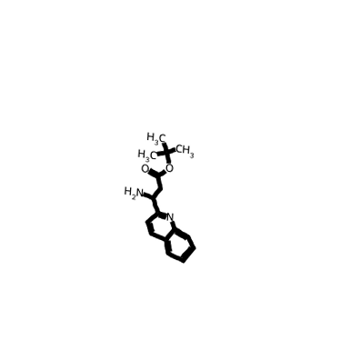 CC(C)(C)OC(=O)CC(N)c1ccc2ccccc2n1